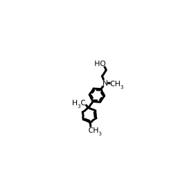 CC1=CCC(C)(c2ccc(N(C)CCO)cc2)C=C1